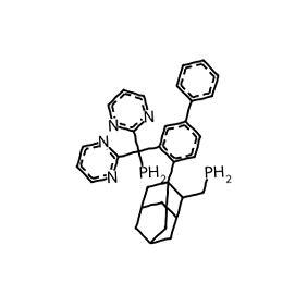 PCC1C2CC3CC(C2)CC1(c1ccc(-c2ccccc2)cc1C(P)(c1ncccn1)c1ncccn1)C3